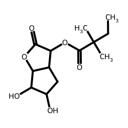 CCC(C)(C)C(=O)OC1C(=O)OC2C(O)C(O)CC12